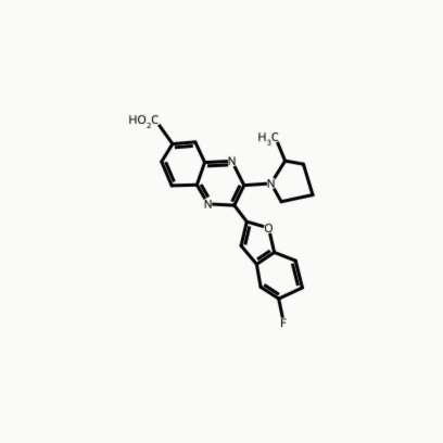 CC1CCCN1c1nc2cc(C(=O)O)ccc2nc1-c1cc2cc(F)ccc2o1